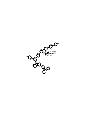 CCCCCCCCC1(CCCCCCCC)c2cc(-c3ccc(-c4ccc(C)cc4)cc3)ccc2-c2ccc(-c3ccc(-c4cc(-c5ccc(C)cc5)cc(-n5c6ccccc6c6cc(-c7ccc8c(c7)c7ccccc7n8-c7ccccc7)ccc65)c4)cc3)cc21